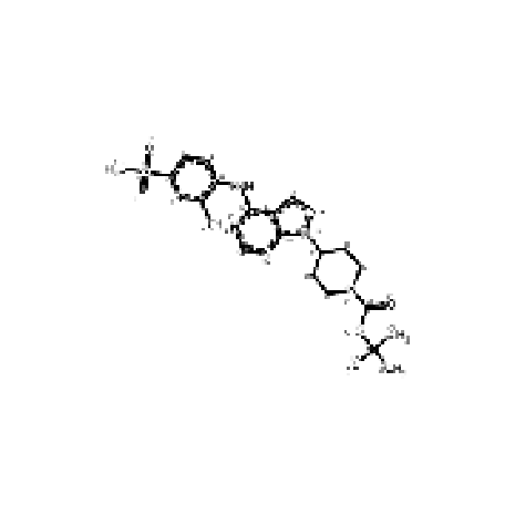 Cc1nc(S(C)(=O)=O)ccc1Nc1ncnc2c1cnn2C1CCN(C(=O)OC(C)(C)C)CC1